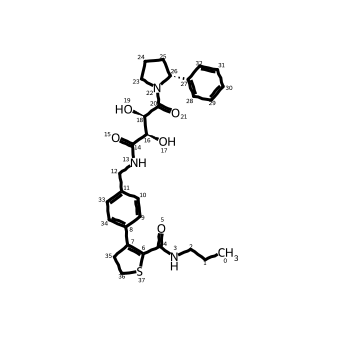 CCCNC(=O)C1=C(c2ccc(CNC(=O)[C@H](O)[C@@H](O)C(=O)N3CCC[C@@H]3c3ccccc3)cc2)CCS1